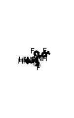 CC(C)c1ccc(C(NC(=O)[C@@H]2C[C@@H](F)CN2C(=O)CC2=CNNN2)c2ccc(F)cn2)cc1F